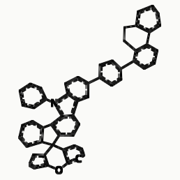 c1ccc(-n2c3ccc(-c4ccc(-c5cccc6c5CCc5ccccc5-6)cc4)cc3c3ccc4c(c32)-c2ccccc2C42c3ccccc3Oc3ccccc32)cc1